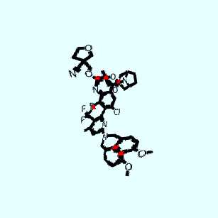 COc1ccc(CN(Cc2ccc(OC)cc2)c2cc(C)c(C(F)(F)F)c(-c3c(Cl)cc4c(N5CC6CCC(C5)N6C(=O)OC(C)(C)C)nc(OCC5(C#N)CCOC5)nc4c3F)n2)cc1